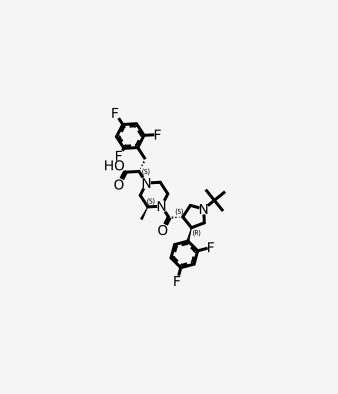 C[C@H]1CN([C@@H](Cc2c(F)cc(F)cc2F)C(=O)O)CCN1C(=O)[C@@H]1CN(C(C)(C)C)C[C@H]1c1ccc(F)cc1F